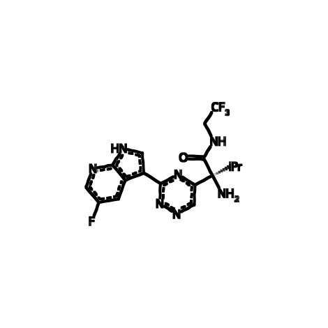 CC(C)[C@@](N)(C(=O)NCC(F)(F)F)c1cnnc(-c2c[nH]c3ncc(F)cc23)n1